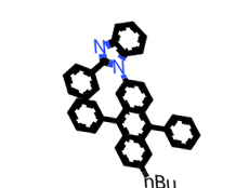 CCCCc1ccc2c(-c3ccccc3)c3cc(-n4c(-c5ccccc5)nc5ccccc54)ccc3c(-c3ccccc3)c2c1